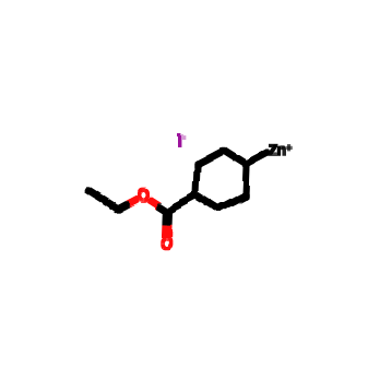 CCOC(=O)C1CC[CH]([Zn+])CC1.[I-]